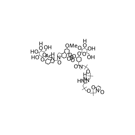 COc1ccc2c(OS(=O)(=O)Oc3cc(C(=O)N(C)CC(C)(C)COCC(C)(C)CN4C=C(CC(C)(C)COCC(C)(C)CN5C(=O)C=CC5=O)NN4)ccc3O[C@@H]3O[C@H](CO)[C@H](O)[C@H](O)C3=O)cc3c(c2c1)CCN3C(=O)c1cc2ccc(O[C@@H]3O[C@H](CO)[C@H](O)[C@H](O)[C@H]3O)c(C(C)=O)c2[nH]1